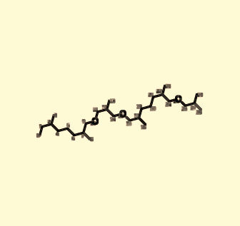 CCC(C)CCCC(C)COCC(C)COCC(C)CCCC(C)COCC(C)C